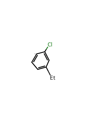 CCc1cc[c]c(Cl)c1